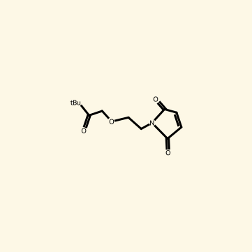 CC(C)(C)C(=O)COCCN1C(=O)C=CC1=O